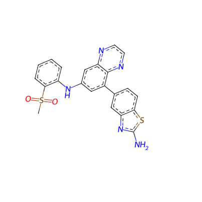 CS(=O)(=O)c1ccccc1Nc1cc(-c2ccc3sc(N)nc3c2)c2nccnc2c1